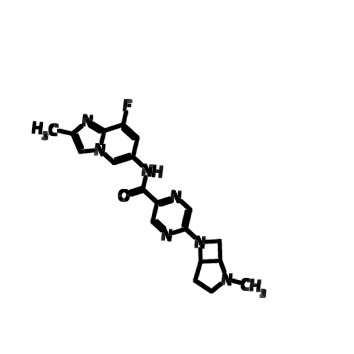 Cc1cn2cc(NC(=O)c3cnc(N4CC5C4CCN5C)cn3)cc(F)c2n1